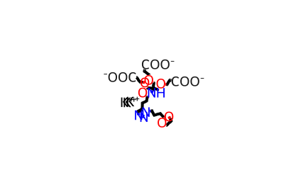 O=C([O-])CCOCC(COCCC(=O)[O-])(COCCC(=O)[O-])NC(=O)CCc1cnnn1CCCC1OCCO1.[K+].[K+].[K+]